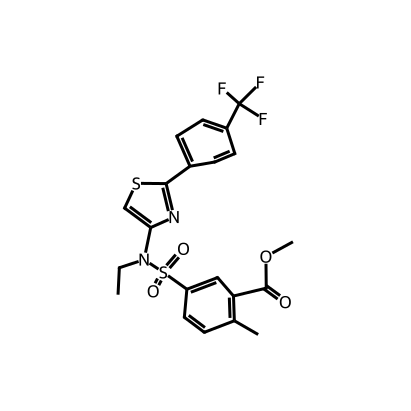 CCN(c1csc(-c2ccc(C(F)(F)F)cc2)n1)S(=O)(=O)c1ccc(C)c(C(=O)OC)c1